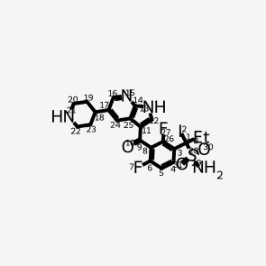 CCC(I)(c1ccc(F)c(C(=O)c2c[nH]c3ncc(C4CCNCC4)cc23)c1F)S(N)(=O)=O